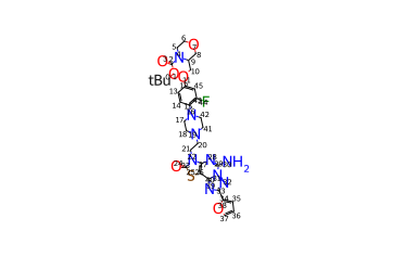 CC(C)(C)OC(=O)N1CCOCC1COc1ccc(N2CCN(CCn3c(=O)sc4c3nc(N)n3nc(-c5ccco5)nc43)CC2)c(F)c1